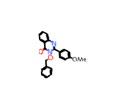 COc1ccc(-c2nc3ccccc3c(=O)n2OCc2ccccc2)cc1